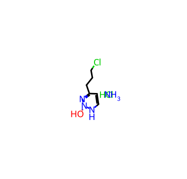 Cl.N.ON1N=C(CCCCl)C=CN1